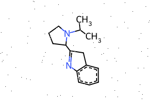 CC(C)N1CCCC1C1=Nc2ccccc2C1